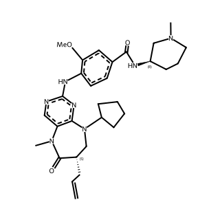 C=CC[C@H]1CN(C2CCCC2)c2nc(Nc3ccc(C(=O)N[C@@H]4CCCN(C)C4)cc3OC)ncc2N(C)C1=O